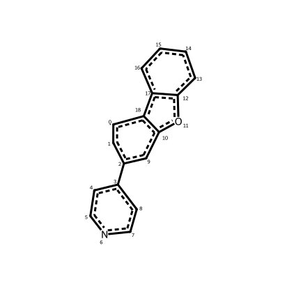 [c]1cc(-c2ccncc2)cc2oc3ccccc3c12